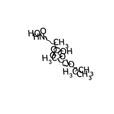 CC(=Cc1ccc(OCCC(C)(C)C)cc1)C(=O)c1c(O)cc(C(C)CCC=CNC(=O)O)oc1=O